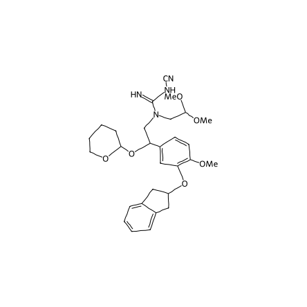 COc1ccc(C(CN(CC(OC)OC)C(=N)NC#N)OC2CCCCO2)cc1OC1Cc2ccccc2C1